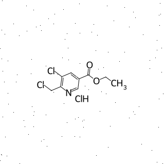 CCOC(=O)c1cnc(CCl)c(Cl)c1.Cl